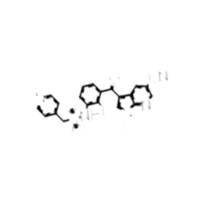 N#Cc1cnc2[nH]cc(C(=O)c3cccc(NS(=O)(=O)Cc4ccncc4)c3F)c2c1